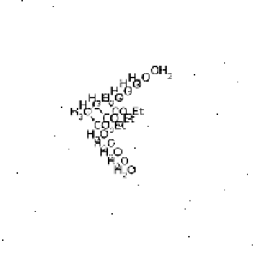 CCOC(C)=O.CCOC(C)=O.CCOC(C)=O.O.O.O.O.O.O.O.O.O.O